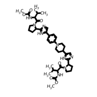 COC(=O)NC(C(=O)N1CCCC1c1ncc(-c2ccc(N3CCC(c4cnc(C5CCCN5C(=O)C(NC(=O)OC)C(C)C)[nH]4)CC3)cc2)[nH]1)C(C)C